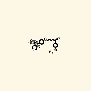 COc1ccc(/C(C#N)=C\CCCOc2ccc(S(=O)(=O)C3(C(=O)NO)CCOCC3)cc2)cc1